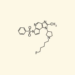 Cc1nc2cnc3c(ccn3S(=O)(=O)c3ccccc3)c2n1C1CCN(CCCCCF)C1